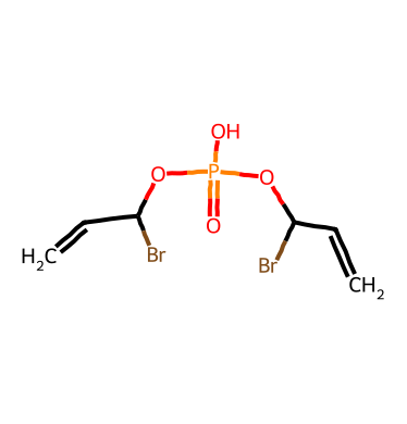 C=CC(Br)OP(=O)(O)OC(Br)C=C